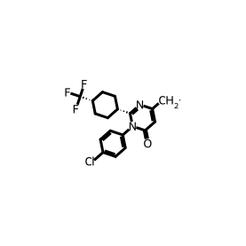 [CH2]c1cc(=O)n(-c2ccc(Cl)cc2)c([C@H]2CC[C@@H](C(F)(F)F)CC2)n1